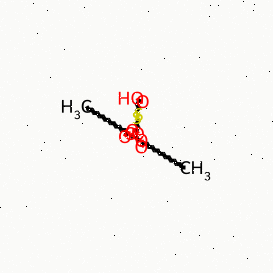 CCCCCCCCCCCCCCCC(=O)OCC(COC(=O)CCCCCCCCCCCCCCC)OC(=O)CCCSSCCCC(=O)O